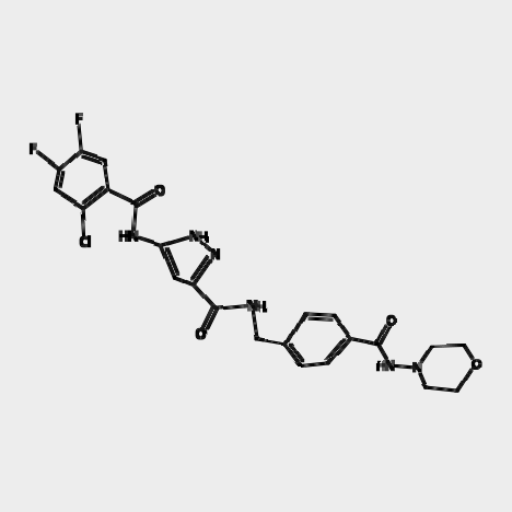 O=C(NN1CCOCC1)c1ccc(CNC(=O)c2cc(NC(=O)c3cc(F)c(F)cc3Cl)[nH]n2)cc1